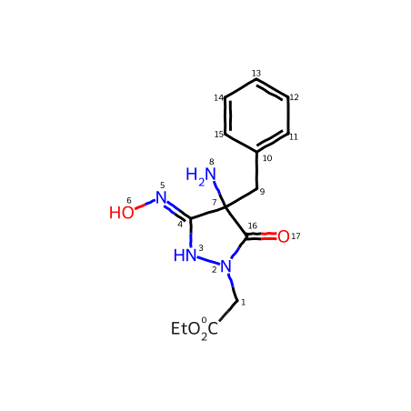 CCOC(=O)CN1NC(=NO)C(N)(Cc2ccccc2)C1=O